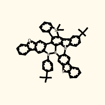 CC(C)(C)c1ccc(N2B3c4cc5sc6ccccc6c5cc4-n4c5ccc(C(C)(C)C)cc5c5c6c(c(c3c54)-c3cc4oc5ccccc5c4cc32)-c2ccccc2[Si]6(C)C)cc1